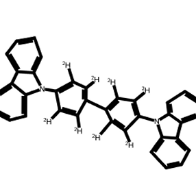 [2H]c1c([2H])c(-n2c3ccccc3c3ccccc32)c([2H])c([2H])c1-c1c([2H])c([2H])c(-n2c3ccccc3c3ccccc32)c([2H])c1[2H]